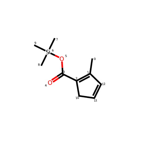 CC1=C(C(=O)O[Si](C)(C)C)CC=C1